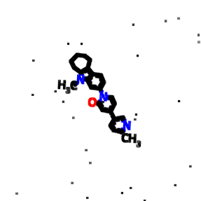 Cc1ccc(-c2ccn(-c3ccc4c5c(n(C)c4c3)CCCCC5)c(=O)c2)cn1